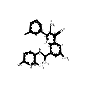 Cc1cc(C(C)Nc2ccc(Cl)nc2C)c2oc(-c3cccc(F)c3)c(C)c(=O)c2c1